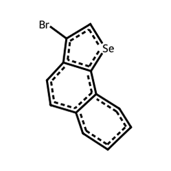 Brc1c[se]c2c1ccc1ccccc12